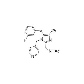 CC(=O)NCc1nc(C(C)C)c(Sc2cccc(F)c2)n1Cc1ccncc1